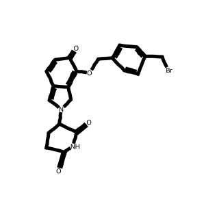 O=C1CCC(N2C=C3C=CC(=O)C(OCc4ccc(CBr)cc4)=C3C2)C(=O)N1